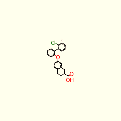 Cc1cccc(-c2ccccc2Oc2ccc3c(c2)CC(C(=O)O)CC3)c1Cl